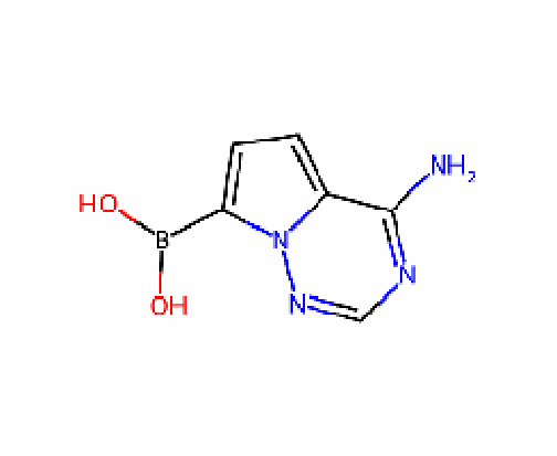 Nc1ncnn2c(B(O)O)ccc12